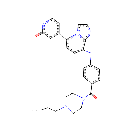 COCCN1CCN(C(=O)c2ccc(Nc3ccc(-c4cc[nH]c(=O)c4)n4ccnc34)cc2)CC1